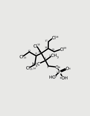 CC(C)(COP(=O)(O)O)C(Cl)(C(CCl)CCl)C(CCl)CCl